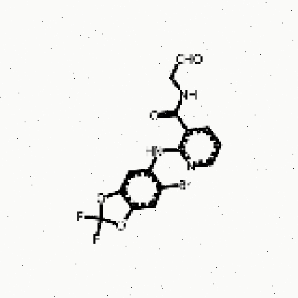 O=CCNC(=O)c1cccnc1Nc1cc2c(cc1Br)OC(F)(F)O2